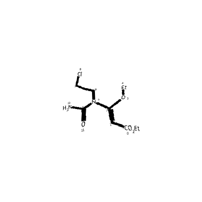 CCOC(=O)C=C(OCC)N(CCCl)C(N)=O